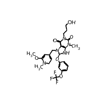 COC1=CC(CN2c3c(n(C)c(=O)n(CCCO)c3=O)NC2Oc2cccc(OC(F)(F)F)c2)=CCN1C